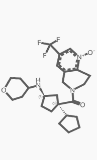 O=C(N1CCc2c(cc(C(F)(F)F)c[n+]2[O-])C1)[C@@]1(C2CCCC2)CC[C@@H](NC2CCOCC2)C1